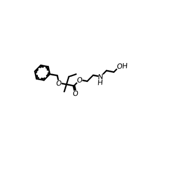 CCC(C)(OCc1ccccc1)C(=O)OCCNCCO